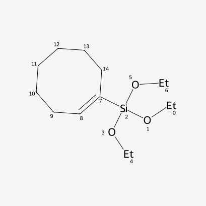 CCO[Si](OCC)(OCC)C1=CCCCCCC1